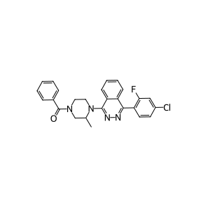 CC1CN(C(=O)c2ccccc2)CCN1c1nnc(-c2ccc(Cl)cc2F)c2ccccc12